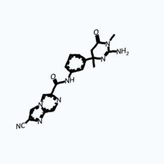 CN1C(=O)CC(C)(c2cccc(NC(=O)c3cn4cc(C#N)nc4cn3)c2)N=C1N